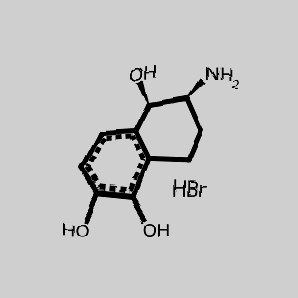 Br.N[C@H]1CCc2c(ccc(O)c2O)[C@H]1O